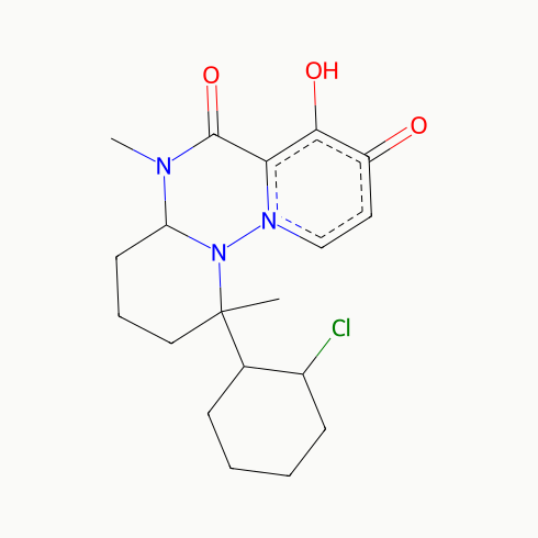 CN1C(=O)c2c(O)c(=O)ccn2N2C1CCCC2(C)C1CCCCC1Cl